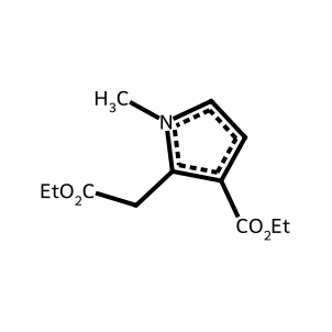 CCOC(=O)Cc1c(C(=O)OCC)ccn1C